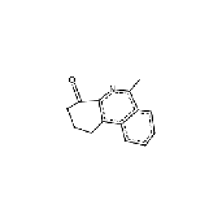 Cc1nc2c(c3ccccc13)CCCC2=O